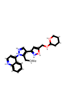 COCc1c(-c2cc(COC3CCCCO3)on2)cnn1-c1ccnc2ccccc12